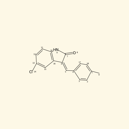 Cc1ccc(C=C2C(=O)Nc3ccc(Cl)cc32)cc1